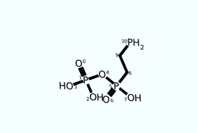 O=P(O)(O)OP(=O)(O)CCP